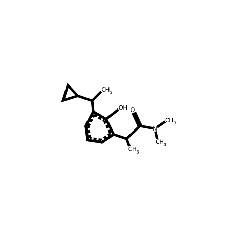 CC(C(=O)N(C)C)c1cccc(C(C)C2CC2)c1O